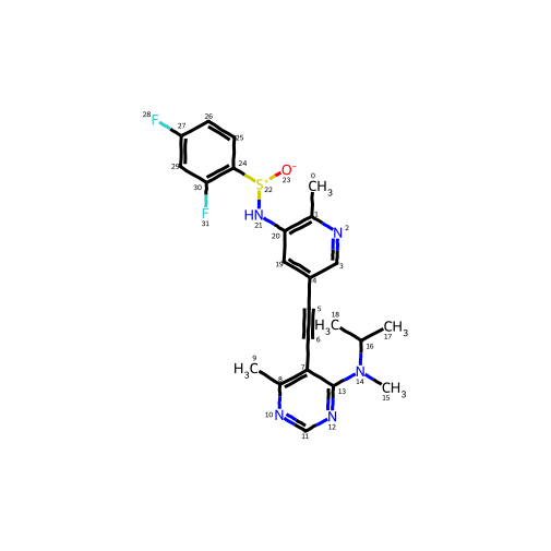 Cc1ncc(C#Cc2c(C)ncnc2N(C)C(C)C)cc1N[S+]([O-])c1ccc(F)cc1F